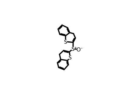 [O-][S+](C1=CCc2ccccc2S1)C1=CCc2ccccc2S1